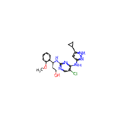 COc1ccccc1C(CCO)Nc1ncc(Cl)c(Nc2cc(C3CC3)[nH]n2)n1